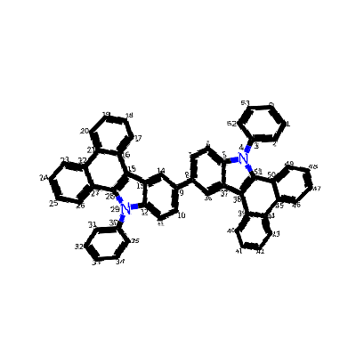 c1ccc(-n2c3ccc(-c4ccc5c(c4)c4c6ccccc6c6ccccc6c4n5-c4ccccc4)cc3c3c4ccccc4c4ccccc4c32)cc1